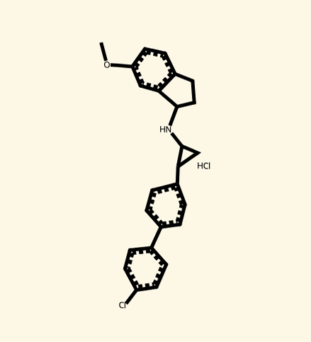 COc1ccc2c(c1)C(NC1CC1c1ccc(-c3ccc(Cl)cc3)cc1)CC2.Cl